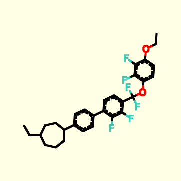 CCOc1ccc(OC(F)(F)c2ccc(-c3ccc(C4CCCC(CC)CC4)cc3)c(F)c2F)c(F)c1F